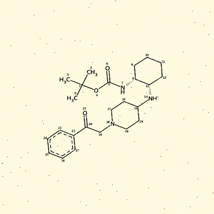 CC(C)(C)OC(=O)N[C@@H]1CCCC[C@@H]1NC1CCN(CC(=O)c2ccccc2)CC1